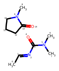 CC=NC(=O)N(C)C.CN1CCCC1=O